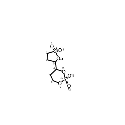 O=S1(=O)CCC(C2CCOS(=O)(=O)O2)O1